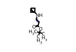 CC(C)(C)OC(=O)/C=C/NC12CC(C1)C2